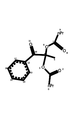 CCCC(=O)OC(C)(OC(=O)CCC)C(=O)c1ccccc1